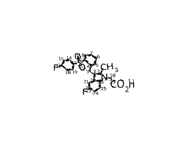 Cc1c(Cc2ccccc2S(=O)(=O)c2ccc(F)cc2)c2cc(F)ccc2n1CC(=O)O